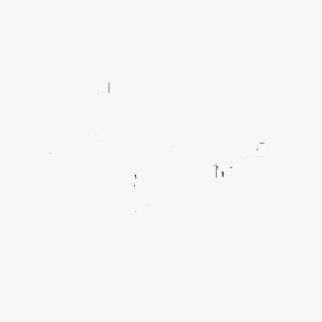 CC12CC[N+]([O-])(CC1)CC2C(=O)Cl